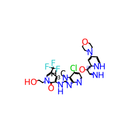 Cn1c(Nc2cc(C(F)(F)F)cn(CCO)c2=O)nc2ncc(O/C(C=N)=C3\C=C(N4CCOCC4)C=CN3)c(Cl)c21